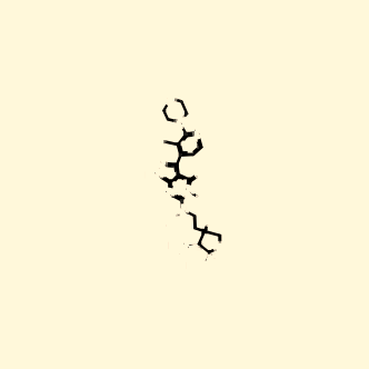 CCC1(CCN(C)c2nc3[nH]nc(-c4ccnc(N5CCOCC5)c4Cl)c3c(=O)n2C)CO[C@@H](C)[C@H]1N